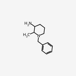 CC1C(N)CCCN1Cc1ccccc1